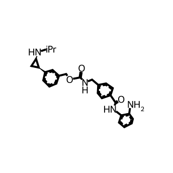 CC(C)N[C@H]1C[C@@H]1c1cccc(COC(=O)NCc2ccc(C(=O)Nc3ccccc3N)cc2)c1